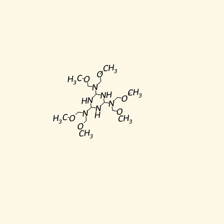 COCN(COC)C1NC(N(COC)COC)NC(N(COC)COC)N1